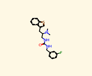 CN(C)C(CNC(=O)NCc1cccc(F)c1)Cc1csc2ccccc12